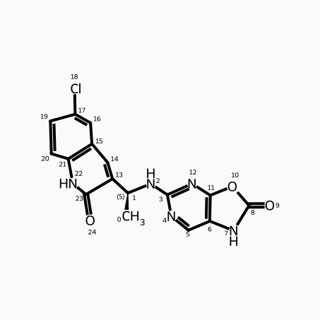 C[C@H](Nc1ncc2[nH]c(=O)oc2n1)c1cc2cc(Cl)ccc2[nH]c1=O